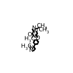 CC(C)c1ncc2c(=O)n(C)c(Oc3ccc(-c4ccnn4C)cc3)cn12